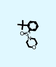 CC(C)(C)c1ccccc1[S+]([O-])N1CCOCC1